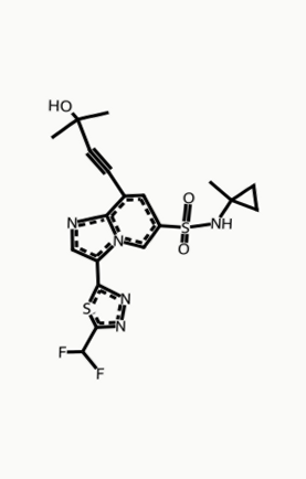 CC(C)(O)C#Cc1cc(S(=O)(=O)NC2(C)CC2)cn2c(-c3nnc(C(F)F)s3)cnc12